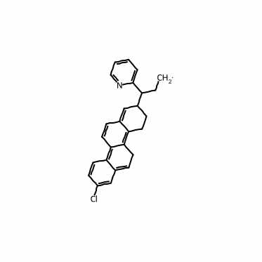 [CH2]CC(c1ccccn1)C1C=c2ccc3c(c2CC1)CC=c1cc(Cl)ccc1=3